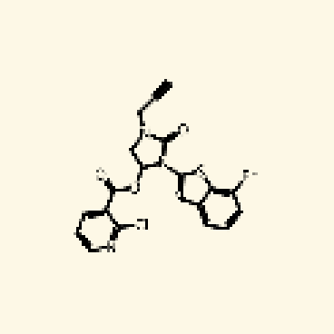 C#CCN1CC(OC(=O)c2cccnc2Cl)N(c2nc3cccc(Br)c3s2)C1=O